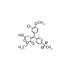 CCOC(=O)C(CC(=O)O)=C(c1ccc(S(C)(=O)=O)cc1)c1ccc(OC)c(Cl)c1